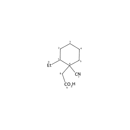 CCC1CCCCC1(C#N)CC(=O)O